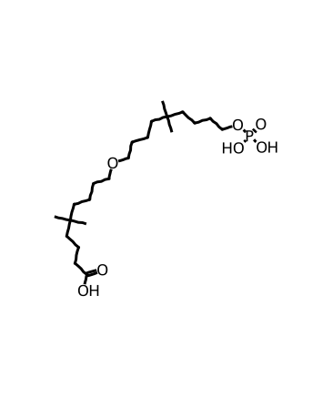 CC(C)(CCCCOCCCCC(C)(C)CCCC(=O)O)CCCCOP(=O)(O)O